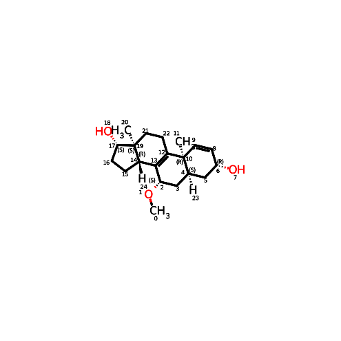 CO[C@H]1C[C@@H]2C[C@@H](O)C=C[C@]2(C)C2=C1[C@@H]1CC[C@H](O)[C@@]1(C)CC2